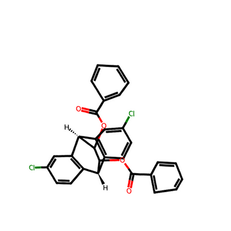 O=C(OC1C(OC(=O)c2ccccc2)[C@H]2c3cc(Cl)ccc3[C@H]1c1ccc(Cl)cc12)c1ccccc1